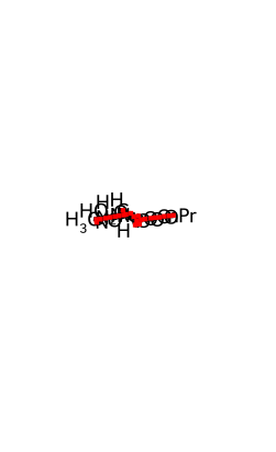 CCCOCCOCCOCCOCCOc1ccc(-c2ccc(C(CC(=O)O)NC(=O)CNC(=O)CCCCNc3cc(C)ccn3)cc2)c2ccccc12